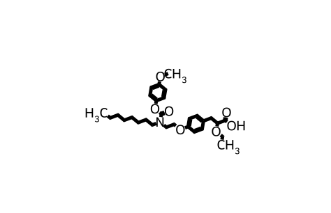 CCCCCCCCN(CCOc1ccc(CC(OCC)C(=O)O)cc1)C(=O)Oc1ccc(OC)cc1